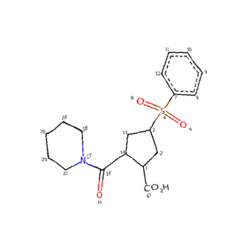 O=C(O)C1CC(S(=O)(=O)c2ccccc2)CC1C(=O)N1CCCCC1